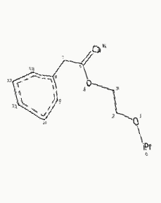 CC(C)OCCOC(=O)Cc1ccccc1